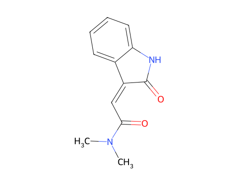 CN(C)C(=O)C=C1C(=O)Nc2ccccc21